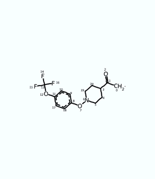 [CH2]C(=O)C1CCN(Oc2ccc(OC(F)(F)F)cc2)CC1